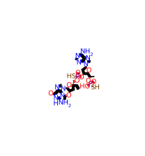 C=C[C@@]1(COP(=O)(S)O[C@H]2C[C@H](n3cnc4c(N)ncnc43)O[C@@H]2[C@@H](C)OP(=O)(O)S)C[C@@H](OCC)[C@H](n2cnc3c(=O)[nH]c(N)nc32)O1